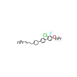 CCC/C=C/CCC1=CCC(c2ccc(-c3ccc(OCCC)c(F)c3Cl)cc2)CC1